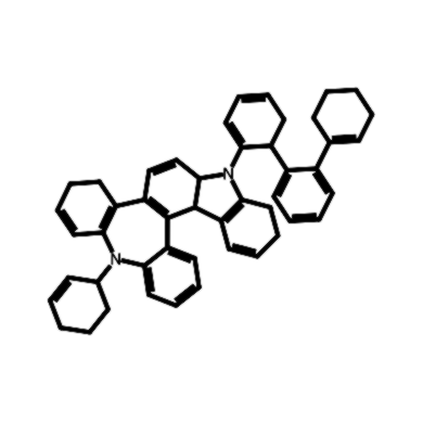 C1=CCC(c2ccccc2C2=CCCCC2)C(N2C3=C(C=CCC3)C3C4=C(C=CC32)C2=C(C=CCC2)N(C2C=CCCC2)c2ccccc24)=C1